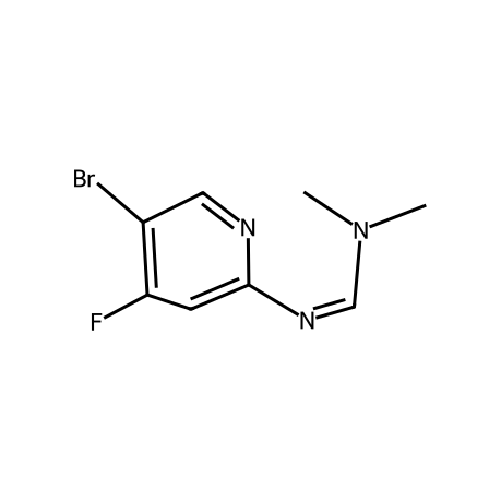 CN(C)/C=N\c1cc(F)c(Br)cn1